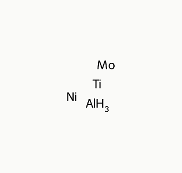 [AlH3].[Mo].[Ni].[Ti]